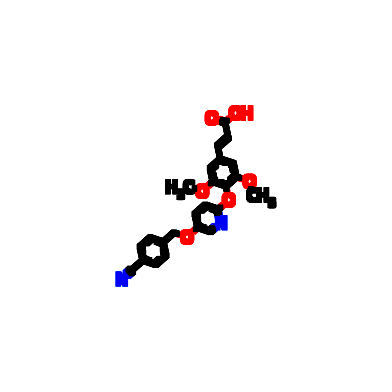 COc1cc(/C=C/C(=O)O)cc(OC)c1Oc1ccc(OCc2ccc(C#N)cc2)cn1